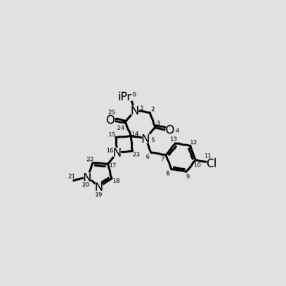 CC(C)N1CC(=O)N(Cc2ccc(Cl)cc2)C2(CN(c3cnn(C)c3)C2)C1=O